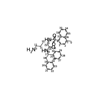 Cc1ccc(S(=O)(=O)N[C@@H](CCCN)C(=O)NC(Cc2ccccc2)c2ccccc2)c2ccccc12